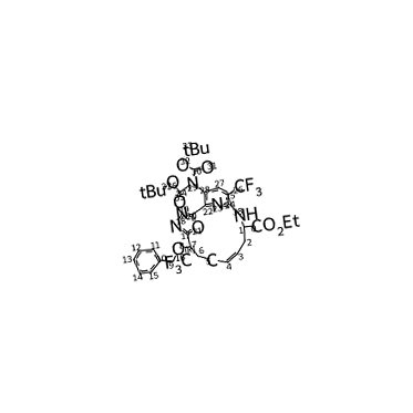 CCOC(=O)C1CC=CCC[C@](OCc2ccccc2)(C(F)(F)F)c2nnc(o2)-c2nc(c(C(F)(F)F)cc2N(C(=O)OC(C)(C)C)C(=O)OC(C)(C)C)N1